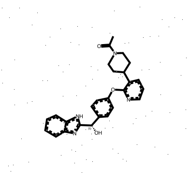 CC(=O)N1CCC(c2cccnc2Oc2ccc([C@H](O)c3nc4ccccc4[nH]3)cc2)CC1